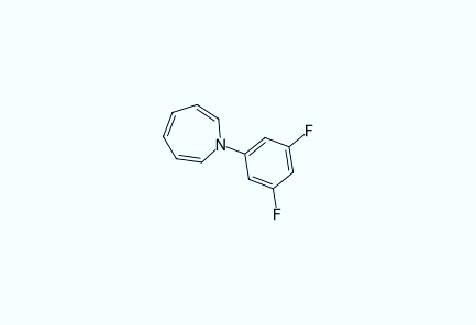 Fc1cc(F)cc(N2C=CC=CC=C2)c1